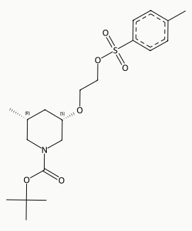 Cc1ccc(S(=O)(=O)OCCO[C@H]2C[C@@H](C)CN(C(=O)OC(C)(C)C)C2)cc1